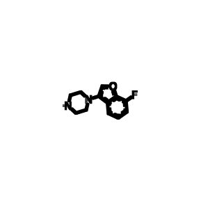 Fc1cccc2c(N3CC[N]CC3)coc12